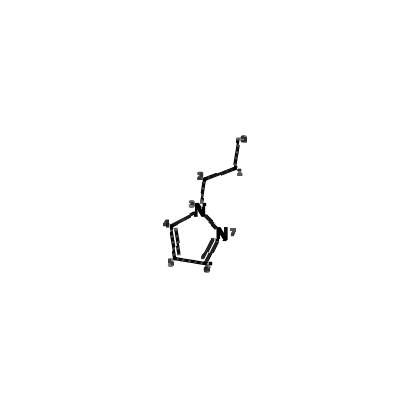 CCCn1cc[c]n1